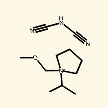 COC[N+]1(C(C)C)CCCC1.N#CNC#N